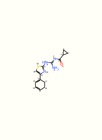 N/C(=N\C(=O)C1CC1)Nc1nc(C2=CC=CCC2)cs1